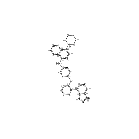 c1cnc(Oc2ccc(Nc3nnc(N4CCCCC4)c4ccccc34)cc2)c(-c2ccnc3[nH]ncc23)c1